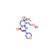 CC(C)OCCN1c2nc(N3CCOCC3)cc(=O)n2CCC1(C)C(F)(F)F